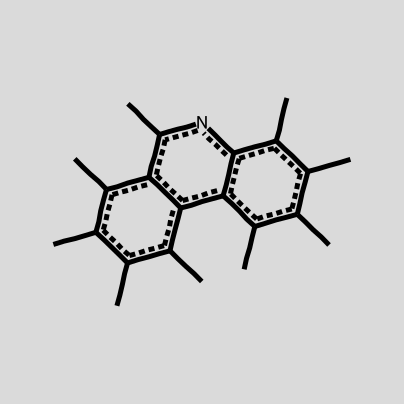 Cc1c(C)c(C)c2c(nc(C)c3c(C)c(C)c(C)c(C)c32)c1C